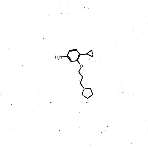 Nc1ccc(C2CC2)c(OCCCN2CCCC2)c1